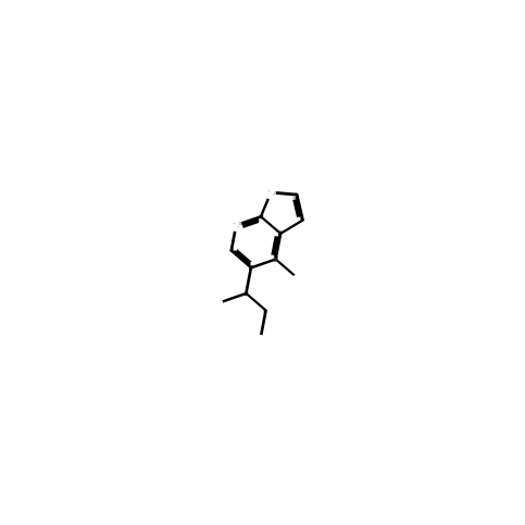 CCC(C)c1cnc2[nH]ccc2c1C